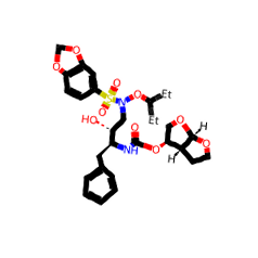 CCC(CC)ON(C[C@@H](O)[C@H](Cc1ccccc1)NC(=O)O[C@H]1CO[C@H]2OCC[C@H]21)S(=O)(=O)c1ccc2c(c1)OCO2